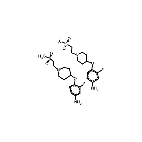 CS(=O)(=O)CCN1CCC(Oc2ccc(N)cc2F)CC1.CS(=O)(=O)CCN1CCC(Oc2ccc(N)cc2F)CC1